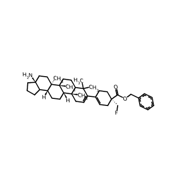 CC1(C)C(C2=CC[C@](CF)(C(=O)OCc3ccccc3)CC2)=CC[C@@]2(C)C1CC[C@]1(C)[C@H]2CC[C@@H]2C3CCC[C@]3(N)CC[C@]21C